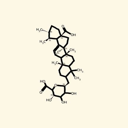 C[C@@H]1CC[C@]2(C(=O)O)CC[C@]3(C)C(=CCC4[C@@]5(C)CCC(C[C@@H]6OC(C(=O)O)[C@@H](O)C(O)C6O)C(C)(C)C5CC[C@]43C)C2[C@H]1C